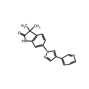 CC1(C)C(=O)Nc2cc(-n3cc(-c4cccnc4)cn3)ccc21